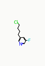 Fc1cncc(CCCCCl)c1